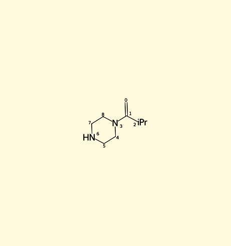 C=C(C(C)C)N1CCNCC1